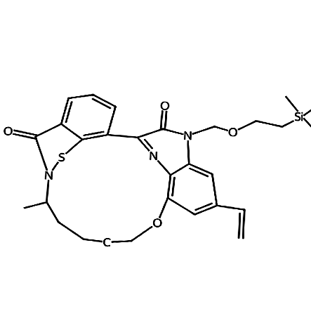 C=Cc1cc2c3nc(c(=O)n(COCC[Si](C)(C)C)c3c1)-c1cccc3c(=O)n(sc13)C(C)CCCCO2